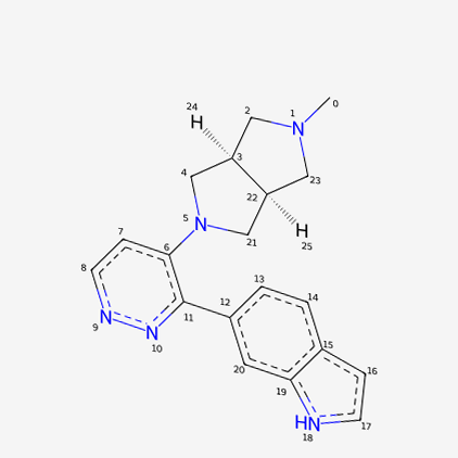 CN1C[C@@H]2CN(c3ccnnc3-c3ccc4cc[nH]c4c3)C[C@@H]2C1